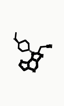 C[CH][C@H]1CC[C@H](n2c(CC#N)nc3cnc4ccsc4c32)CC1